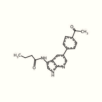 CCCC(=O)Nc1c[nH]c2ncc(-c3ccc(C(C)=O)cc3)cc12